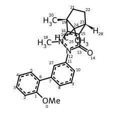 COc1ccccc1-c1cccc(-n2c(=O)c3c(n2C)[C@]2(C)CC[C@H]3C2(C)C)c1